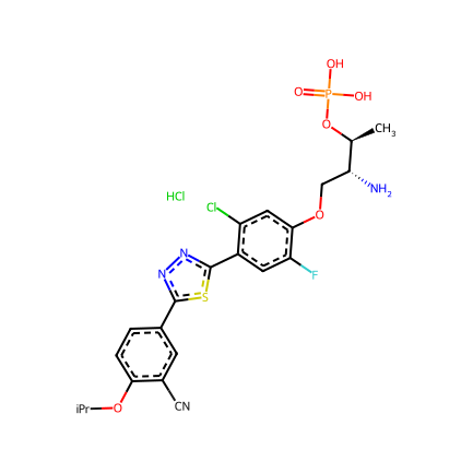 CC(C)Oc1ccc(-c2nnc(-c3cc(F)c(OC[C@@H](N)[C@H](C)OP(=O)(O)O)cc3Cl)s2)cc1C#N.Cl